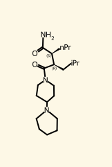 CCC[C@H](C(N)=O)[C@@H](CC(C)C)C(=O)N1CCC(N2CCCCC2)CC1